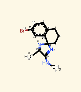 CNC1=NC2(CCCc3ccc(Br)cc32)N=C1C